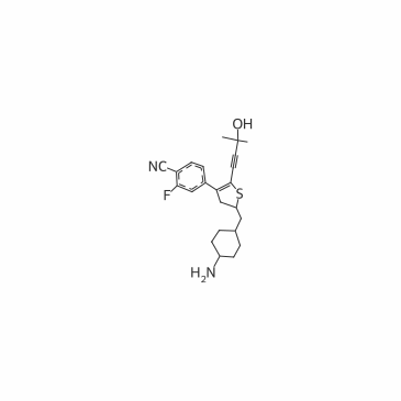 CC(C)(O)C#CC1=C(c2ccc(C#N)c(F)c2)CC(CC2CCC(N)CC2)S1